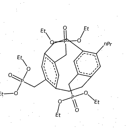 CCCc1cc2c(CP(=O)(OCC)OCC)cc1CCc1cc(CP(=O)(OCC)OCC)c(cc1CP(=O)(OCC)OCC)CC2